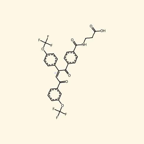 O=C(O)CCNC(=O)c1ccc(C(=O)/C(=C\C(=O)c2cccc(OC(F)(F)F)c2)c2ccc(OC(F)(F)F)cc2)cc1